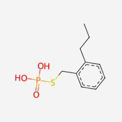 CCCc1ccccc1CSP(=O)(O)O